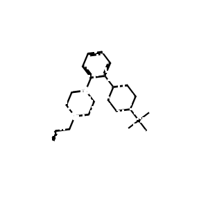 CC(C)(C)C1CCC(c2ccccc2N2CCN(C[C]=O)CC2)CC1